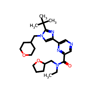 CCN(CC1CCCO1)C(=O)c1cncc(-c2cn(CC3CCOCC3)c(C(C)(C)C)n2)n1